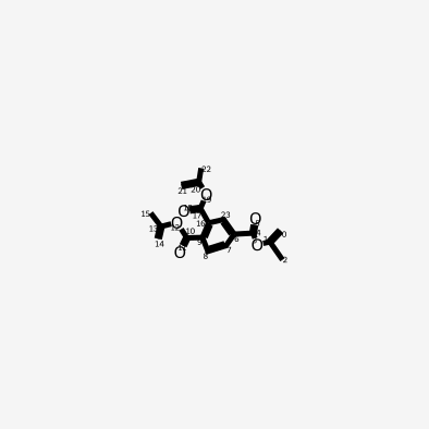 C=C(C)OC(=O)c1ccc(C(=O)OC(=C)C)c(C(=O)OC(=C)C)c1